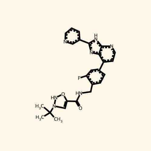 CC(C)(C)N1C=C(C(=O)NCc2ccc(-c3ccnc4[nH]c(-c5cccnc5)nc34)cc2F)ON1